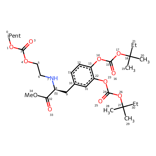 CCCC(C)OC(=O)OCCN[C@@H](Cc1ccc(OC(=O)OC(C)(C)CC)c(OC(=O)OC(C)(C)CC)c1)C(=O)OC